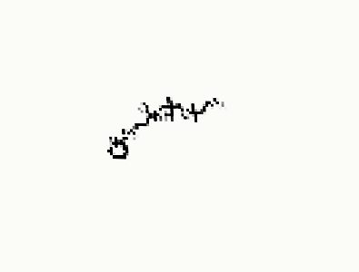 CC(=O)CCC(C)(C)OCC(C)(C)CNC(=O)CCSSc1ccccn1